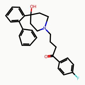 O=C(CCCN1CCC(O)(c2ccccc2-c2ccccc2)CC1)c1ccc(F)cc1